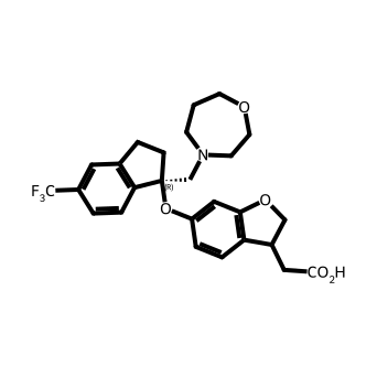 O=C(O)CC1COc2cc(O[C@]3(CN4CCCOCC4)CCc4cc(C(F)(F)F)ccc43)ccc21